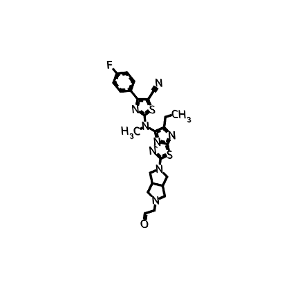 CCc1nc2sc(N3CC4CN(CC=O)CC4C3)nn2c1N(C)c1nc(-c2ccc(F)cc2)c(C#N)s1